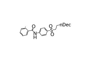 CCCCCCCCCCCCS(=O)(=O)c1ccc(NC(=O)c2[c]cccc2)cc1